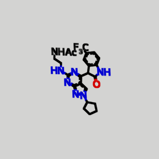 CC(=O)NCCNc1nc(C2C(=O)Nc3ccc(C(F)(F)F)cc32)c2cn(C3CCCC3)nc2n1